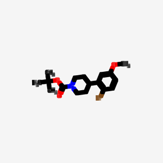 COc1ccc(Br)c(C2CCN(C(=O)OC(C)(C)C)CC2)c1